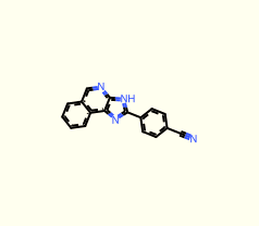 N#Cc1ccc(-c2nc3c(ncc4ccccc43)[nH]2)cc1